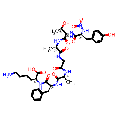 C[C@H](NC(=O)CNC(=O)[C@H](C)NC(=O)[C@@H](NC(=O)[C@H](Cc1ccc(O)cc1)N[N+](=O)[O-])[C@@H](C)O)C(=O)N[C@@H](Cc1ccccc1)C(=O)N[C@@H](CCCCN)C(=O)O